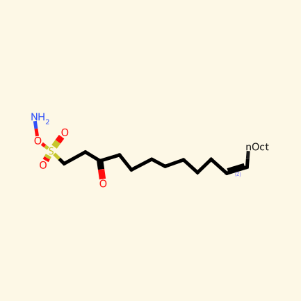 CCCCCCCC/C=C\CCCCCCCC(=O)CCS(=O)(=O)ON